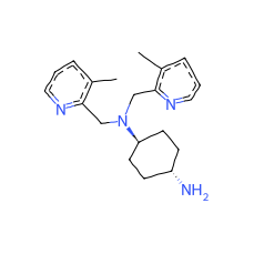 Cc1cccnc1CN(Cc1ncccc1C)[C@H]1CC[C@H](N)CC1